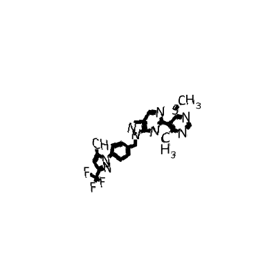 CSc1ncnc(C)c1-c1ncc2cnn(Cc3ccc(-n4nc(C(F)(F)F)cc4C)cc3)c2n1